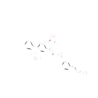 CNS(=O)(=O)c1ccccc1-c1ccc(NC(=O)[C@@H]2C[C@@H]2c2cccc(C=NN)c2)cc1.O=C(O)C(F)(F)F